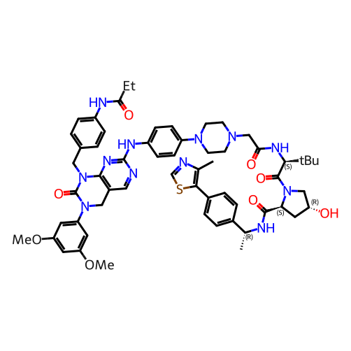 CCC(=O)Nc1ccc(CN2C(=O)N(c3cc(OC)cc(OC)c3)Cc3cnc(Nc4ccc(N5CCN(CC(=O)N[C@H](C(=O)N6C[C@H](O)C[C@H]6C(=O)N[C@H](C)c6ccc(-c7scnc7C)cc6)C(C)(C)C)CC5)cc4)nc32)cc1